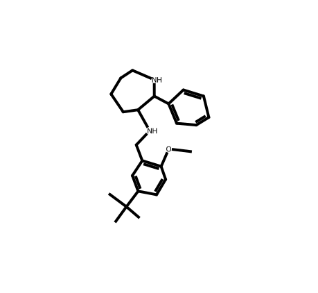 COc1ccc(C(C)(C)C)cc1CNC1CCCCNC1c1ccccc1